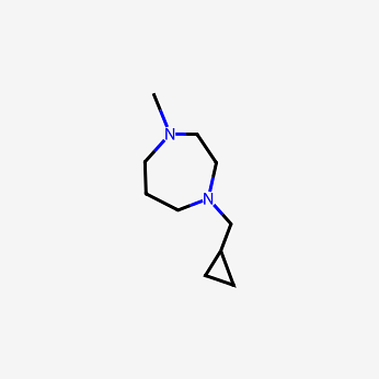 CN1CCCN(CC2CC2)CC1